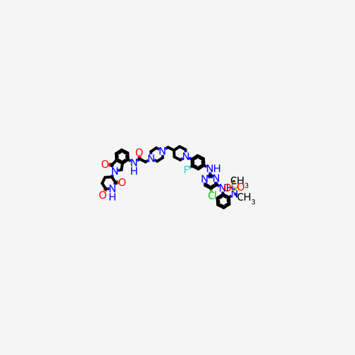 CN(c1ccccc1Nc1nc(Nc2ccc(N3CCC(CN4CCN(CC(=O)Nc5cccc6c5CN(C5CCC(=O)NC5=O)C6=O)CC4)CC3)c(F)c2)ncc1Cl)S(C)(=O)=O